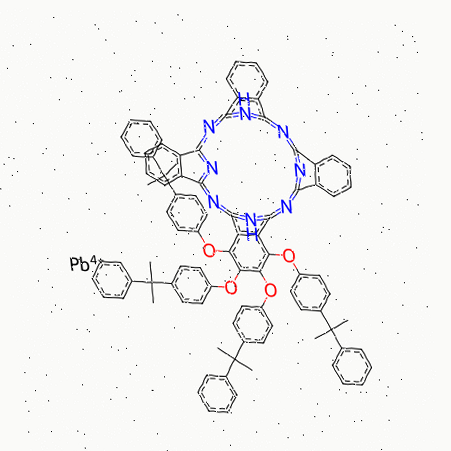 CC(C)(c1ccccc1)c1ccc(Oc2c(Oc3ccc(C(C)(C)c4ccccc4)cc3)c(Oc3ccc(C(C)(C)c4ccccc4)cc3)c3c4nc5nc(nc6[nH]c(nc7nc(nc([nH]4)c3c2Oc2ccc(C(C)(C)c3ccccc3)cc2)-c2ccccc2-7)c2ccccc62)-c2ccccc2-5)cc1.[Pb+4]